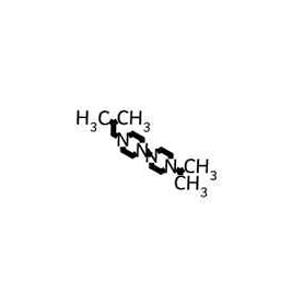 CC(C)CN1CCN(N2CCN(C(C)C)CC2)CC1